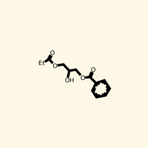 C[CH]C(=O)OCC(O)COC(=O)c1ccccc1